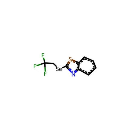 FC(F)(F)C[Se]c1nc2ccccc2s1